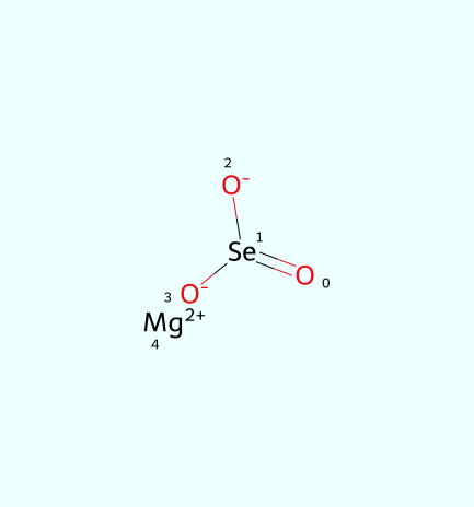 O=[Se]([O-])[O-].[Mg+2]